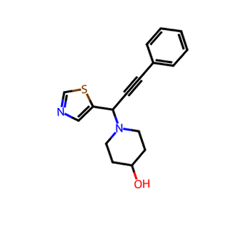 OC1CCN(C(C#Cc2ccccc2)c2cncs2)CC1